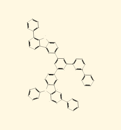 c1ccc(-c2cccc(-c3cc(-c4ccc5oc6c(-c7ccccc7)cccc6c5c4)cc(-c4ccc5c(c4)c4cc(-c6ccccc6)ccc4n5-c4ccccc4)c3)c2)cc1